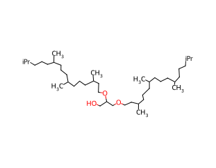 CC(C)CCCC(C)CCCC(C)CCCC(C)CCOCC(CO)OCCC(C)CCCC(C)CCCC(C)CCCC(C)C